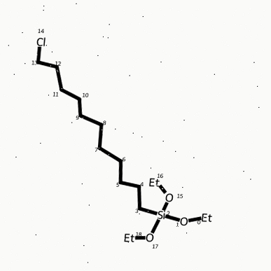 CCO[Si](CCCCCCCCCCCCl)(OCC)OCC